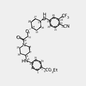 CCOC(=O)c1ccc(NC2CCN(C(=O)CO[C@H]3CC[C@H](Nc4ccc(C#N)c(C(F)(F)F)c4)CC3)CC2)cc1